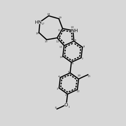 COc1ccc(-c2ccc3[nH]c4c(c3c2)CCNCC4)c(C)c1